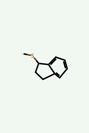 [CH2]SC1CCc2ccccc21